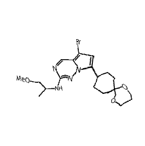 COCC(C)Nc1ncc2c(Br)cc(C3CCC4(CC3)OCCO4)n2n1